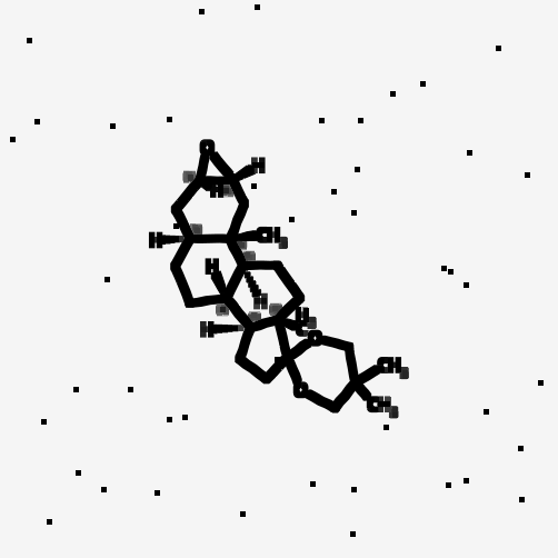 CC1(C)COC2(CC[C@H]3[C@@H]4CC[C@H]5C[C@@H]6O[C@@H]6C[C@]5(C)[C@H]4CC[C@@]32C)OC1